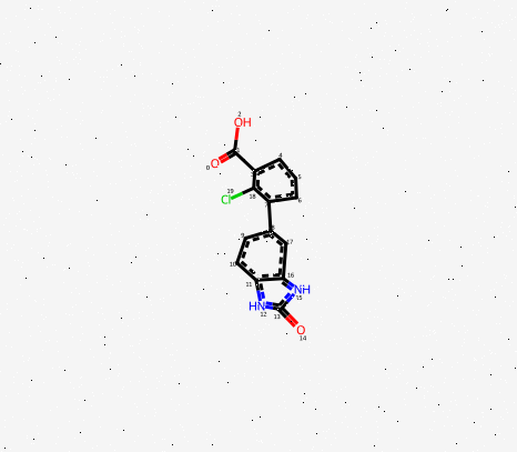 O=C(O)c1cccc(-c2ccc3[nH]c(=O)[nH]c3c2)c1Cl